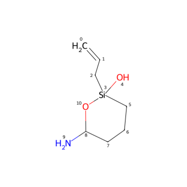 C=CC[Si]1(O)CCCC(N)O1